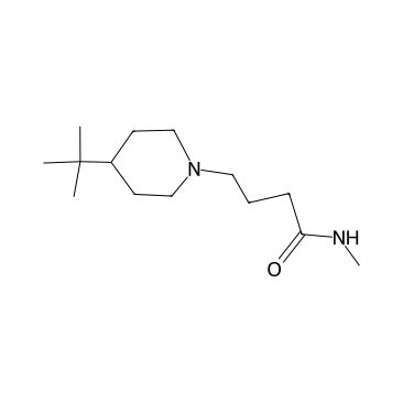 CNC(=O)CCCN1CCC(C(C)(C)C)CC1